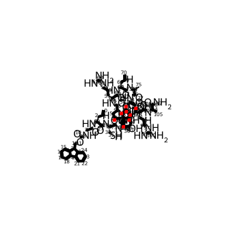 C=CC[C@H](NC(=O)CNC(=O)OCC1c2ccccc2-c2ccccc21)C(=O)N[C@@H](CS)C(=O)N[C@@H](CO)C(=O)N[C@@H](CC(=O)O)C(=O)N1CCCC1C(=O)N[C@@H](CCCNC(=N)N)C(=O)N[C@@H](CC=C)C(=O)N[C@@H](C)C(=O)N[C@@H](Cc1cc2ccccc2[nH]1)C(=O)N[C@@H](CCCNC(=N)N)C(=O)NC(C)C(N)=O